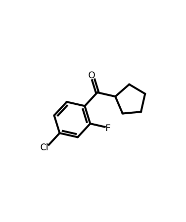 O=C(c1ccc(Cl)cc1F)C1CCCC1